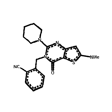 CNc1cc2nc(N3CCCCC3)n(Cc3ccccc3C#N)c(=O)c2s1